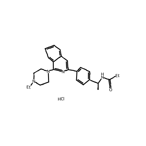 CCC(=O)NC(C)c1ccc(-c2cc3ccccc3c(N3CCN(CC)CC3)n2)cc1.Cl